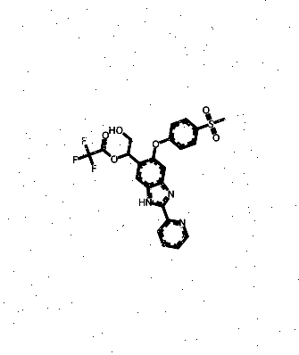 CS(=O)(=O)c1ccc(Oc2cc3nc(-c4ccccn4)[nH]c3cc2C(CO)OC(=O)C(F)(F)F)cc1